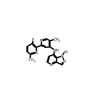 Cc1ccc(F)c(-c2cc(Nc3ccnc4cnn(C(C)C)c34)c(C)cn2)n1